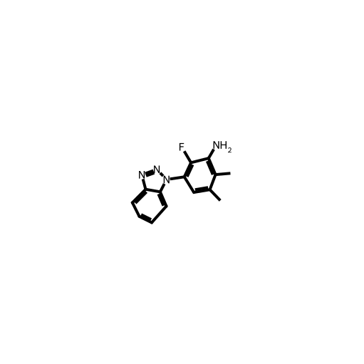 Cc1cc(-n2nnc3ccccc32)c(F)c(N)c1C